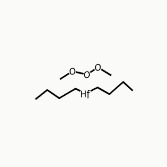 CCC[CH2][Hf][CH2]CCC.COOOC